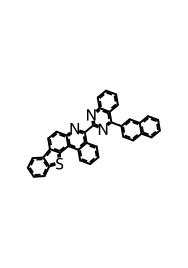 c1ccc2cc(-c3nc(-c4nc5ccc6c7ccccc7sc6c5c5ccccc45)nc4ccccc34)ccc2c1